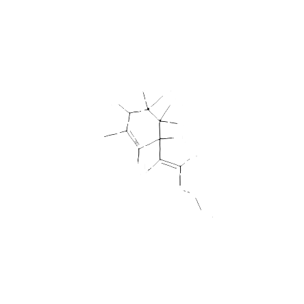 C[SiH2]OC([SiH3])=C([SiH3])C1(C)C(C)=C(C)C(C)C(C)(C)C1(C)C